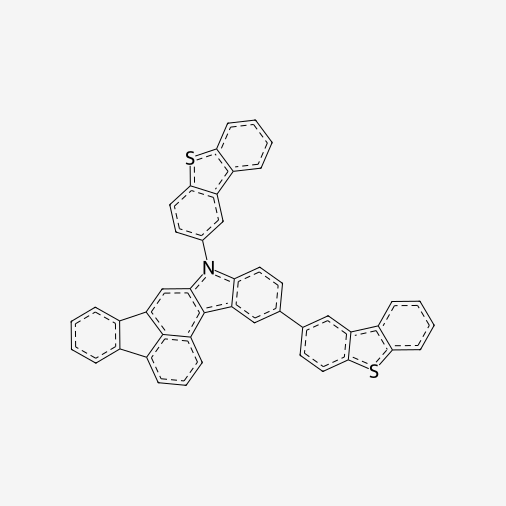 c1ccc2c(c1)-c1cccc3c1c-2cc1c3c2cc(-c3ccc4sc5ccccc5c4c3)ccc2n1-c1ccc2sc3ccccc3c2c1